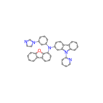 c1ccc(-n2c3ccccc3c3ccc(N(c4cccc(-n5ccnc5)c4)c4cccc5c4oc4ccccc45)cc32)nc1